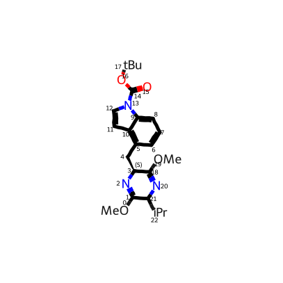 COC1=N[C@@H](Cc2cccc3c2ccn3C(=O)OC(C)(C)C)C(OC)=NC1C(C)C